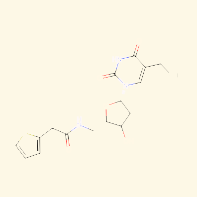 CCc1cn([C@@H]2CC(O)[C@H](CNC(=O)Cc3cccs3)O2)c(=O)[nH]c1=O